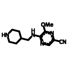 COc1nc(C#N)cnc1NCC1CCNCC1